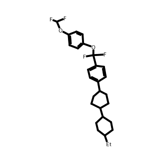 CCC1CCC(C2CCC(c3ccc(C(F)(F)Oc4ccc(OC(F)F)cc4)cc3)CC2)CC1